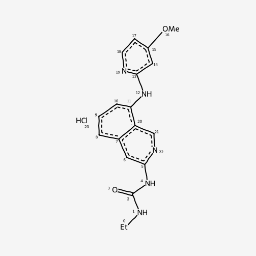 CCNC(=O)Nc1cc2cccc(Nc3cc(OC)ccn3)c2cn1.Cl